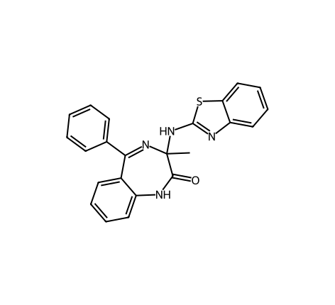 CC1(Nc2nc3ccccc3s2)N=C(c2ccccc2)c2ccccc2NC1=O